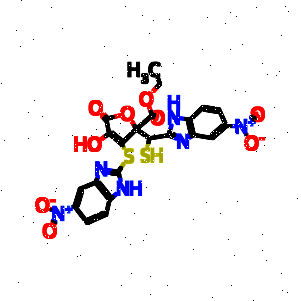 CCOC(=O)C1(C(S)c2nc3cc([N+](=O)[O-])ccc3[nH]2)OC(=O)C(O)=C1Sc1nc2cc([N+](=O)[O-])ccc2[nH]1